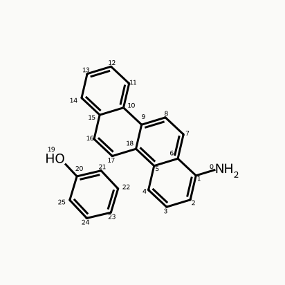 Nc1cccc2c1ccc1c3ccccc3ccc21.Oc1ccccc1